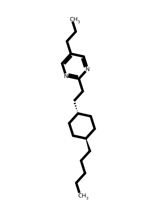 CCCCC[C@H]1CC[C@H](CCc2ncc(CCC)cn2)CC1